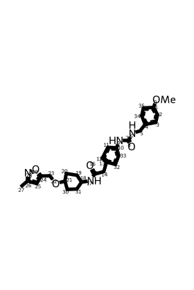 COc1ccc(CNC(=O)Nc2ccc(CC(=O)NC3CCC(OCc4cc(C)no4)CC3)cc2)cc1